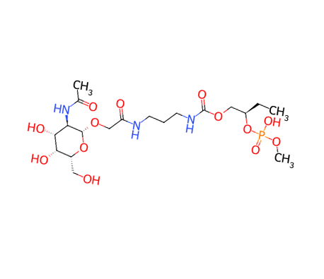 CC[C@H](COC(=O)NCCCNC(=O)CO[C@@H]1O[C@H](CO)[C@H](O)[C@H](O)[C@H]1NC(C)=O)OP(=O)(O)OC